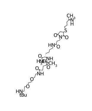 CC(=N)CCCSC1CC(=O)N(CCC(=O)NCCCC[C@H](NC(C)(C)C(=O)CCC(=O)NCCOCCOCCNC(C)(C)C)C(N)=O)C1=O